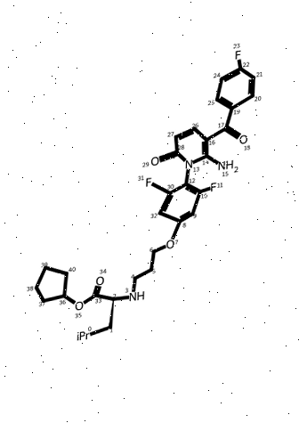 CC(C)C[C@H](NCCCOc1cc(F)c(-n2c(N)c(C(=O)c3ccc(F)cc3)ccc2=O)c(F)c1)C(=O)OC1CCCC1